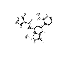 CCOc1ncccc1-c1cc(NC(C)c2nncn2C)c2c(n1)c(C)nn2C(C)C